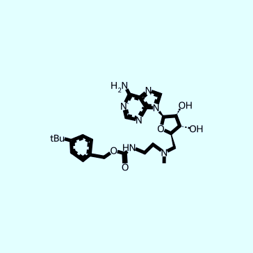 CN(CCNC(=O)OCc1ccc(C(C)(C)C)cc1)C[C@H]1O[C@@H](n2cnc3c(N)ncnc32)[C@H](O)[C@@H]1O